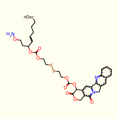 CCCCCCCCCCCCC/C=C/C(CCON)OC(=O)OCCSSCCOC(=O)OC1C(=O)OCc2c1cc1n(c2=O)Cc2cc3ccccc3nc2-1